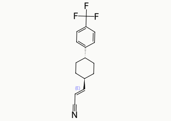 N#C/C=C/[C@H]1CC[C@H](c2ccc(C(F)(F)F)cc2)CC1